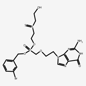 Nc1nc2c(ncn2CCOCP(=O)(OCCS(=S)CCO)OCc2cccc(Br)c2)c(=O)[nH]1